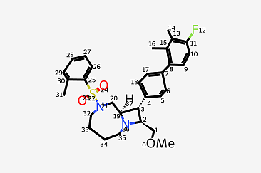 COC[C@@H]1[C@@H](c2ccc(-c3ccc(F)c(C)c3C)cc2)[C@@H]2CN(S(=O)(=O)c3ccccc3C)CCCCN12